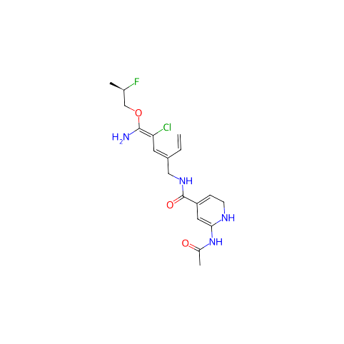 C=C/C(=C\C(Cl)=C(/N)OC[C@@H](C)F)CNC(=O)C1=CCNC(NC(C)=O)=C1